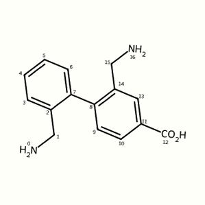 NCc1ccccc1-c1ccc(C(=O)O)cc1CN